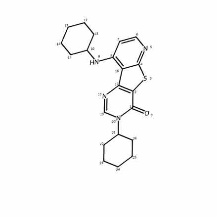 O=c1c2sc3nccc(NC4CCCCC4)c3c2ncn1C1CCCCC1